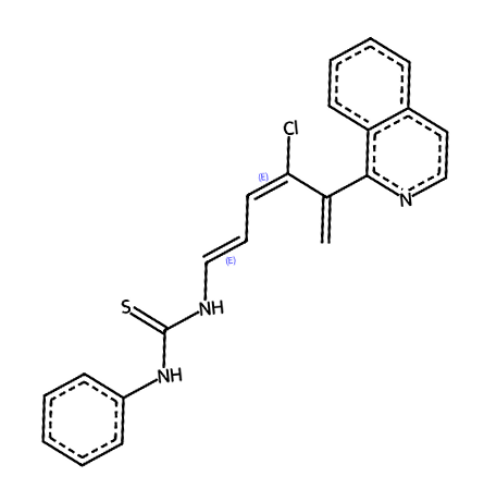 C=C(/C(Cl)=C\C=C\NC(=S)Nc1ccccc1)c1nccc2ccccc12